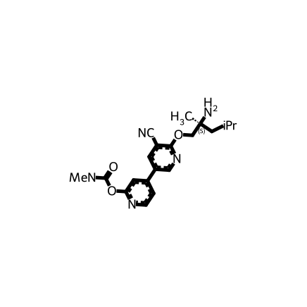 CNC(=O)Oc1cc(-c2cnc(OC[C@@](C)(N)CC(C)C)c(C#N)c2)ccn1